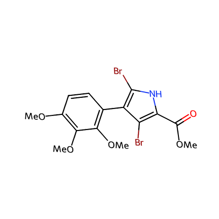 COC(=O)c1[nH]c(Br)c(-c2ccc(OC)c(OC)c2OC)c1Br